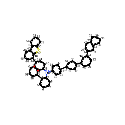 c1ccc(-c2ccccc2N(c2ccc(-c3ccc(-c4cccc(-c5ccc6ccccc6c5)c4)cc3)cc2)c2ccc(-c3cccc4c3sc3ccccc34)cc2)cc1